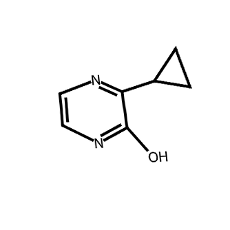 Oc1nccnc1C1CC1